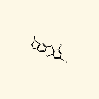 Cn1cnc2ccc(Oc3c(Cl)cc(N)cc3Cl)cc21